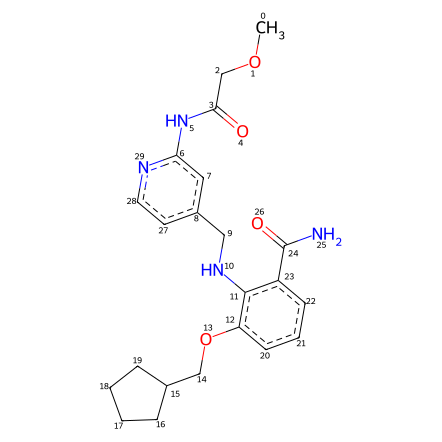 COCC(=O)Nc1cc(CNc2c(OCC3CCCC3)cccc2C(N)=O)ccn1